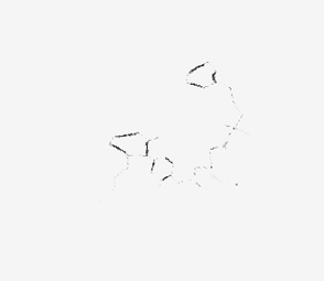 CCc1cc(-c2c(C)cccc2CCC(=O)O)ccc1CN(C)C[C@H](O)CNC(C)(C)CCCc1ccccc1